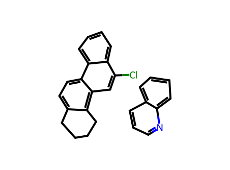 Clc1cc2c3c(ccc2c2ccccc12)CCCC3.c1ccc2ncccc2c1